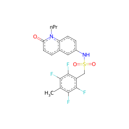 CCCn1c(=O)ccc2cc(NS(=O)(=O)Cc3c(F)c(F)c(C)c(F)c3F)ccc21